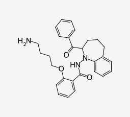 NCCCCOc1ccccc1C(=O)NN1c2ccccc2CCCC1C(=O)c1ccccc1